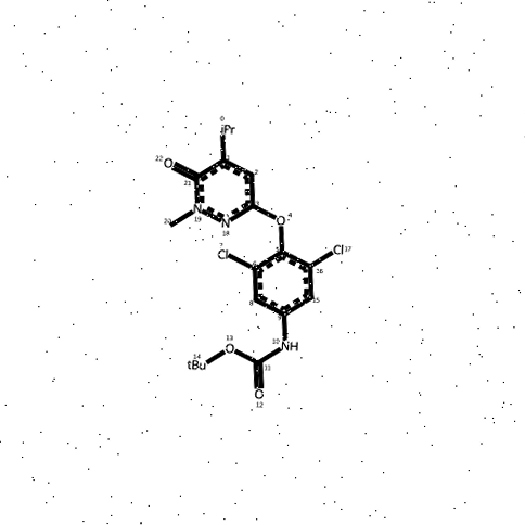 CC(C)c1cc(Oc2c(Cl)cc(NC(=O)OC(C)(C)C)cc2Cl)nn(C)c1=O